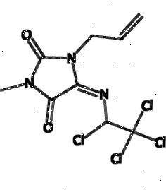 C=CCN1C(=O)N(C)C(=O)C1=NC(Cl)C(Cl)(Cl)Cl